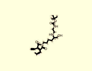 C#CC1=C(/C=C\C)C(=O)N(CCCCC(CO)NCCNC(=O)OC(C)(C)C)C1=O